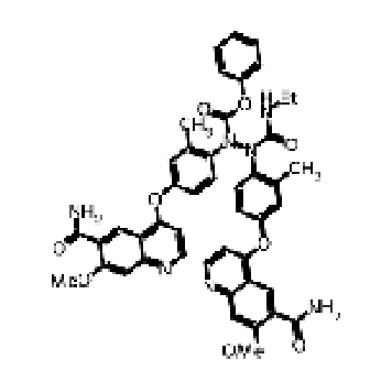 CCNC(=O)N(c1ccc(Oc2ccnc3cc(OC)c(C(N)=O)cc23)cc1C)N(C(=O)Oc1ccccc1)c1ccc(Oc2ccnc3cc(OC)c(C(N)=O)cc23)cc1C